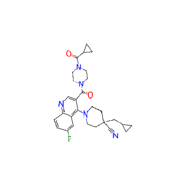 N#CC1(CC2CC2)CCN(c2c(C(=O)N3CCN(C(=O)C4CC4)CC3)cnc3ccc(F)cc23)CC1